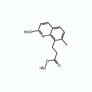 CCCCOC(=O)CCc1c(F)ccc2ccc(OC)nc12